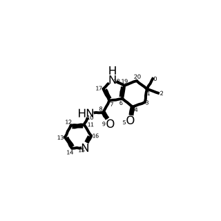 CC1(C)CC(=O)c2c(C(=O)Nc3cccnc3)c[nH]c2C1